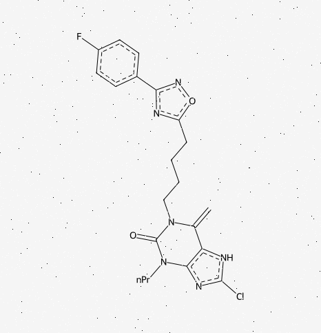 C=C1c2[nH]c(Cl)nc2N(CCC)C(=O)N1CCCCc1nc(-c2ccc(F)cc2)no1